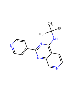 CCC(C)(C)Nc1nc(-c2ccncc2)nc2cnccc12